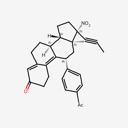 CC#C[C@]1([N+](=O)[O-])CC[C@H]2[C@@H]3CCC4=CC(=O)CCC4=C3[C@@H](c3ccc(C(C)=O)cc3)C[C@@]21C